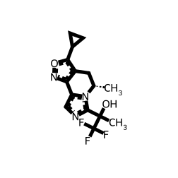 C[C@H]1Cc2c(noc2C2CC2)-c2cnc(C(C)(O)C(F)(F)F)n21